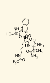 C[C@@H](C(N)=O)[C@H](NC(=O)[C@H](CCCCNC(=O)C(F)(F)F)NC(=O)[C@H](Cc1ccccc1)NC(=O)[C@@H](N)CO)C(N)=O